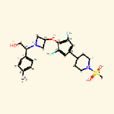 CS(=O)(=O)N1CCC(c2cc(F)c(OC3CN(C(CO)c4ccc(C(F)(F)F)cc4)C3)c(F)c2)CC1